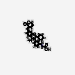 [2H]C(c1ccc(CC2CCCOC2=O)cc1)N(C(=O)C1CCCCC1)c1cccc(/C=C/C(=O)O)c1